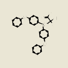 O=C([O-])C(Cl)(Cl)Cl.c1ccc(Oc2ccc([I+]c3ccc(Oc4ccccc4)cc3)cc2)cc1